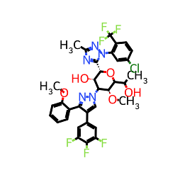 COc1ccccc1-c1nn(C2[C@@H](OC)C(C(C)O)O[C@@H](c3nc(C)nn3-c3cc(Cl)ccc3C(F)(F)F)[C@H]2O)cc1-c1cc(F)c(F)c(F)c1